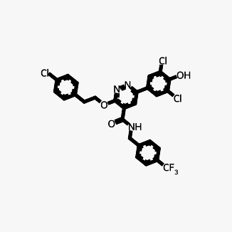 O=C(NCc1ccc(C(F)(F)F)cc1)c1cc(-c2cc(Cl)c(O)c(Cl)c2)nnc1OCCc1ccc(Cl)cc1